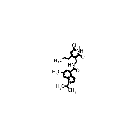 CCCc1cc(C)[nH]c(=O)c1CNC(=O)c1cc(C)cc2c1ccn2C(C)C